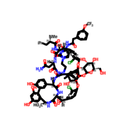 CN[C@@H](CC(C)C)C(=O)N[C@H]1C(=O)N[C@@H](CC(N)=O)C(=O)NC2C(=O)N[C@@H]3C(=O)N[C@@H](C(=O)N[C@@H](C(=O)O)c4cc(O)cc(O)c4-c4cc3ccc4O)[C@H](O)c3ccc(c(Cl)c3)Oc3cc2cc(c3OC2O[C@@H](CO)[C@@H](O)[C@@H](O)[C@H]2O[C@H]2CC(C)(NCCn3ccc(NC(=O)Cc4cccc(OC(F)(F)F)c4)nc3=O)[C@@H](O)[C@@H](C)O2)Oc2ccc(cc2Cl)[C@H]1O